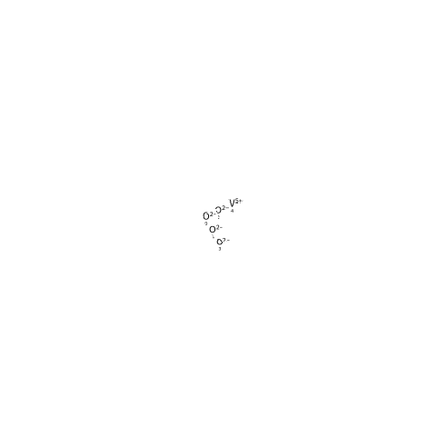 [O-2].[O-2].[O-2].[O-2].[V+5]